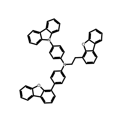 c1ccc2c(c1)oc1c(CCN(c3ccc(-c4cccc5c4oc4ccccc45)cc3)c3ccc(-n4c5ccccc5c5ccccc54)cc3)cccc12